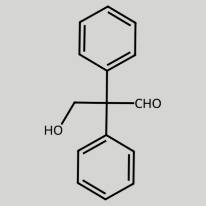 O=CC(CO)(c1ccccc1)c1ccccc1